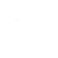 OCC1=C2CCC(=C1)C2